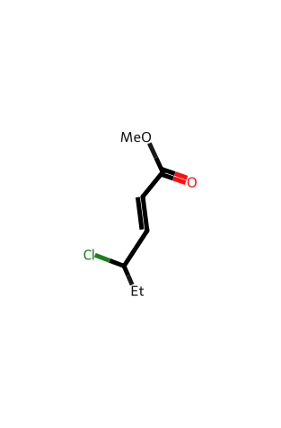 CCC(Cl)C=CC(=O)OC